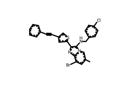 Cc1cc(Br)c2nc(-c3cc(C#Cc4ccccc4)cs3)c(NCc3ccc(Cl)cc3)n2c1